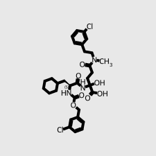 CN(CCc1cccc(Cl)c1)C(=O)CCC(O)(NC(=O)[C@H](CC1CCCCC1)NC(=O)OCc1cccc(Cl)c1)C(=O)O